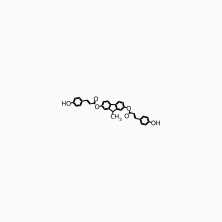 CC1c2cc(OC(=O)C=Cc3ccc(O)cc3)ccc2-c2ccc(OC(=O)C=Cc3ccc(O)cc3)cc21